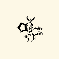 CCC[NH][Zr]([NH]CCC)([NH]CCC)[C]1=[C]([Ge]([CH3])([CH3])[CH3])C=CC1